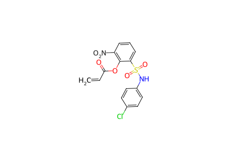 C=CC(=O)Oc1c([N+](=O)[O-])cccc1S(=O)(=O)Nc1ccc(Cl)cc1